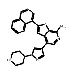 Nc1ncc(-c2cnn(C3CCNCC3)c2)c2cc(-c3cncc4ccccc34)oc12